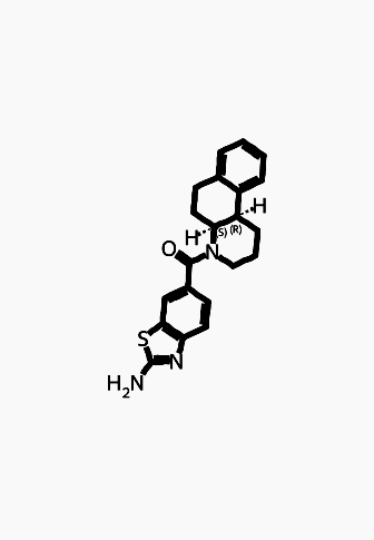 Nc1nc2ccc(C(=O)N3CCC[C@@H]4c5ccccc5CC[C@@H]43)cc2s1